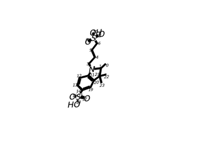 CC1N(CCCCS(=O)(=O)O)c2ccc(S(=O)(=O)O)cc2C1(C)C